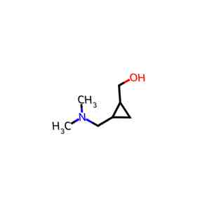 CN(C)CC1CC1CO